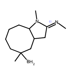 BC1(C)CCCCC2C(C/C(=N\C)N2C)C1